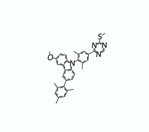 COc1ccc2c(c1)c1cc(-c3c(C)cc(C)cc3C)ccc1n2-c1c(C)cc(-c2ncnc(SC)n2)cc1C